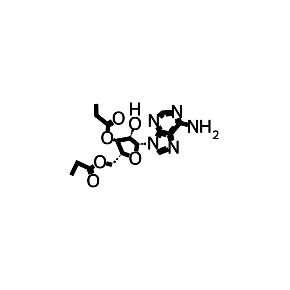 CCC(=O)OC[C@H]1O[C@@H](n2cnc3c(N)ncnc32)[C@@H](O)[C@@H]1OC(=O)CC